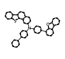 c1ccc(-c2ccc(N(c3ccc(-c4cccc5c4oc4ccccc45)cc3)c3ccc4ccc5c6ccccc6sc5c4c3)cc2)cc1